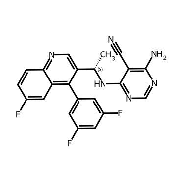 C[C@H](Nc1ncnc(N)c1C#N)c1cnc2ccc(F)cc2c1-c1cc(F)cc(F)c1